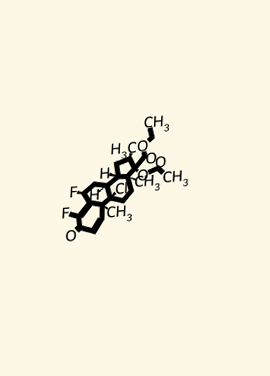 CCOC(=O)[C@@]1(OC(C)=O)[C@H](C)C[C@H]2[C@@H]3C[C@H](F)C4=C(F)C(=O)C=C[C@]4(C)[C@@]3(Cl)CC[C@@]21C